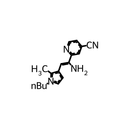 CCCCn1ccc(/C=C(\N)c2cc(C#N)ccn2)c1C